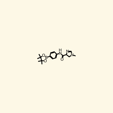 CN1C=NC(C(=O)Nc2ccc(B3OC(C)(C)C(C)(C)O3)cc2)C1